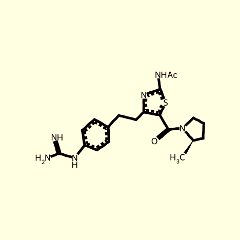 CC(=O)Nc1nc(CCc2ccc(NC(=N)N)cc2)c(C(=O)N2CCC[C@H]2C)s1